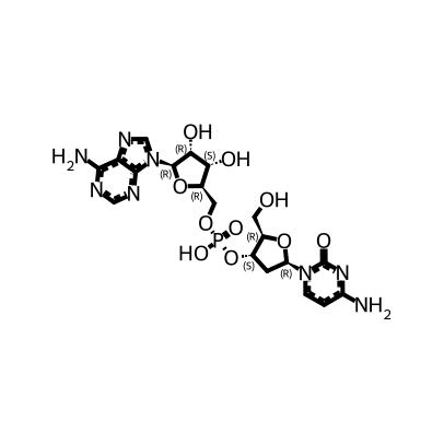 Nc1ccn([C@H]2C[C@H](OP(=O)(O)OC[C@H]3O[C@@H](n4cnc5c(N)ncnc54)[C@H](O)[C@@H]3O)[C@@H](CO)O2)c(=O)n1